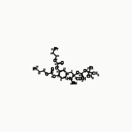 CCC(C)N[C@@](Cc1ccc(OC(=O)OCCC(C)C)c(OC(=O)OCCC(C)C)c1)(OC(=O)OC(C)(C)CC)C(=O)O